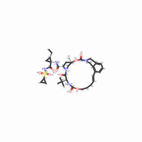 CC[C@@H]1C[C@]1(NC(=O)[C@@H]1C[C@@H]2CN1C(=O)[C@H](C(C)(C)C)NC(=O)OCCC/C=C/c1cccc3c1CN(C3)C(=O)O2)C(=O)NS(=O)(=O)C1CC1